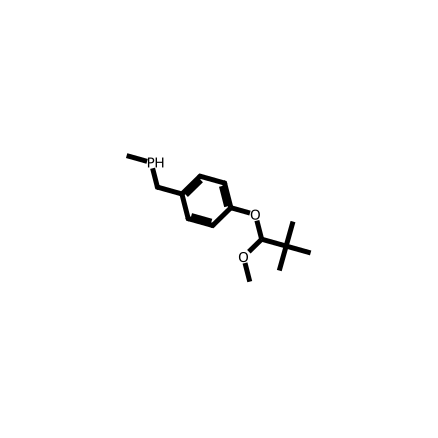 COC(Oc1ccc(CPC)cc1)C(C)(C)C